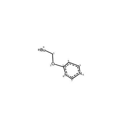 CCCCCOc1ccn[c]n1